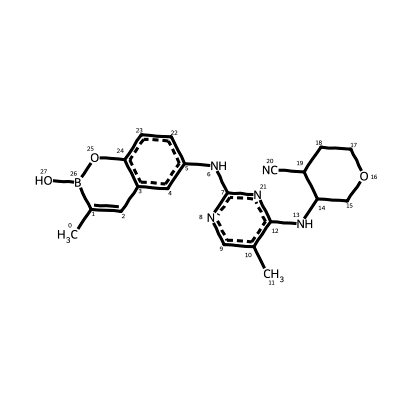 CC1=Cc2cc(Nc3ncc(C)c(NC4COCCC4C#N)n3)ccc2OB1O